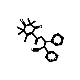 C=C(CC(c1ccccc1)C(C#N)c1ccccc1)C1=C(C)C(C)(C)C(=O)C(C)(C)C1=O